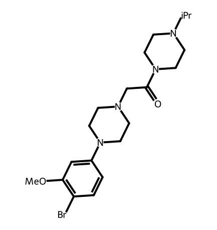 COc1cc(N2CCN(CC(=O)N3CCN(C(C)C)CC3)CC2)ccc1Br